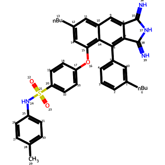 CCCCc1cccc(-c2c3c(cc4cc(CCCC)cc(Oc5ccc(S(=O)(=O)Nc6ccc(C)cc6)cc5)c24)C(=N)NC3=N)c1